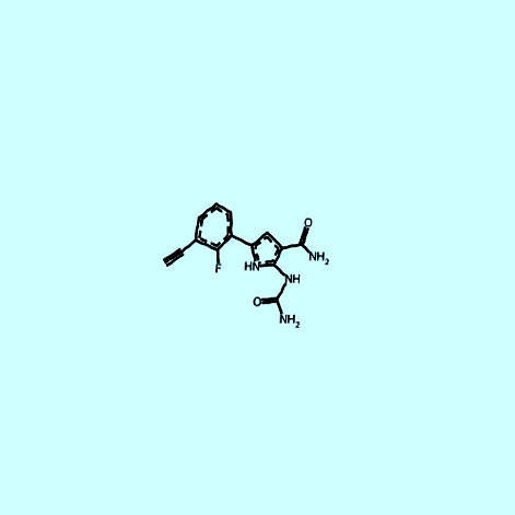 C#Cc1cccc(-c2cc(C(N)=O)c(NC(N)=O)[nH]2)c1F